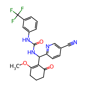 COC1=C(C(NC(=O)Nc2cccc(C(F)(F)F)c2)c2ccc(C#N)cn2)C(=O)CCC1